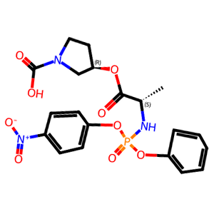 C[C@H](NP(=O)(Oc1ccccc1)Oc1ccc([N+](=O)[O-])cc1)C(=O)O[C@@H]1CCN(C(=O)O)C1